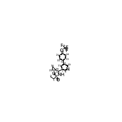 CCS(=O)(=O)NC(c1cncc(-c2ccc(OC(F)(F)F)cc2)c1)C1CC1